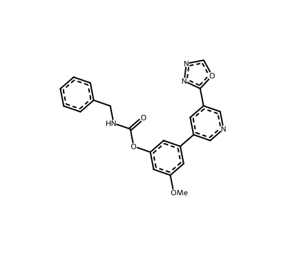 COc1cc(OC(=O)NCc2ccccc2)cc(-c2cncc(-c3nnco3)c2)c1